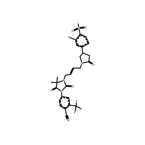 CC1(C)C(=O)N(c2ccc(C#N)c(C(F)(F)F)c2)C(=O)N1CC=CCN1CC(c2ccc(S(C)(=O)=O)c(Cl)c2)CC1=O